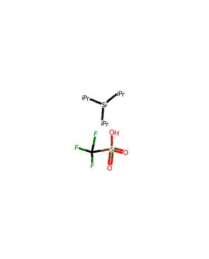 CC(C)[Si](C(C)C)C(C)C.O=S(=O)(O)C(F)(F)F